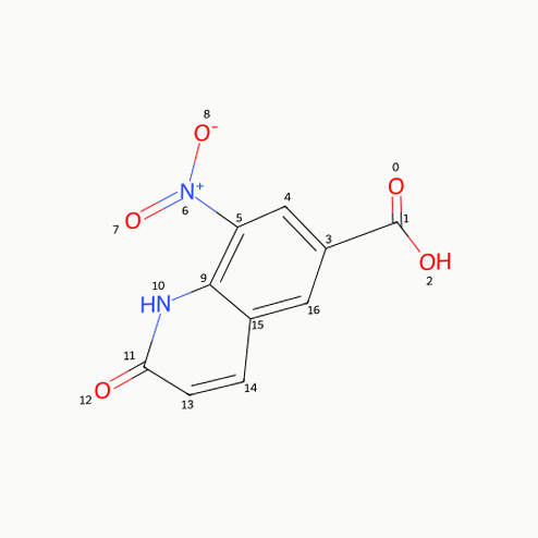 O=C(O)c1cc([N+](=O)[O-])c2[nH]c(=O)ccc2c1